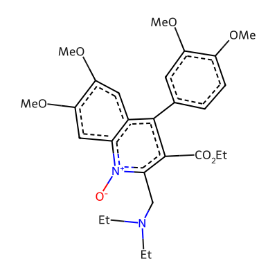 CCOC(=O)c1c(-c2ccc(OC)c(OC)c2)c2cc(OC)c(OC)cc2[n+]([O-])c1CN(CC)CC